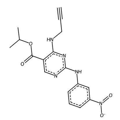 C#CCNc1nc(Nc2cccc([N+](=O)[O-])c2)ncc1C(=O)OC(C)C